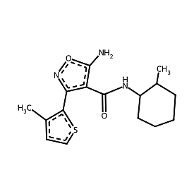 Cc1ccsc1-c1noc(N)c1C(=O)NC1CCCCC1C